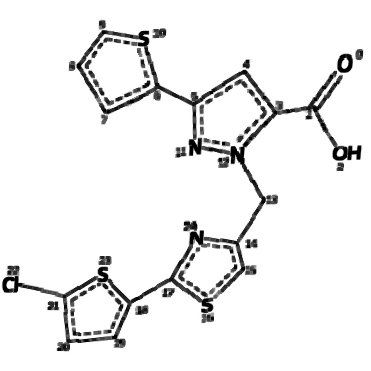 O=C(O)c1cc(-c2cccs2)nn1Cc1csc(-c2ccc(Cl)s2)n1